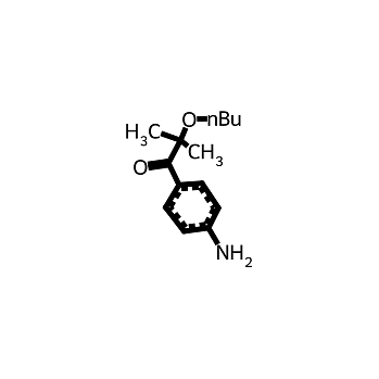 CCCCOC(C)(C)C(=O)c1ccc(N)cc1